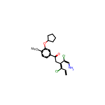 C=C/C(Cl)=C(CC(=O)c1ccc(OC)c(OC2CCCC2)c1)\C(Cl)=C/N